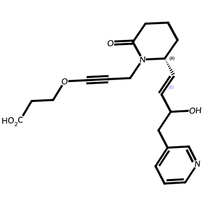 O=C(O)CCOC#CCN1C(=O)CCC[C@@H]1/C=C/C(O)Cc1cccnc1